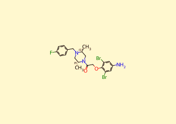 C[C@@H]1CN(Cc2ccc(F)cc2)[C@@H](C)CN1C(=O)COc1c(Br)cc(N)cc1Br